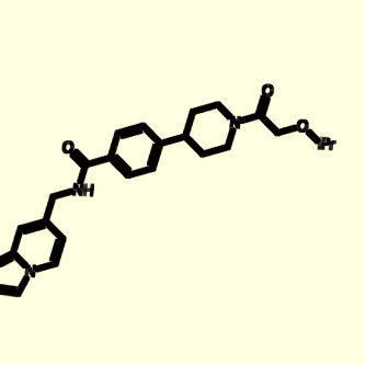 CC(C)OCC(=O)N1CCC(c2ccc(C(=O)NCc3ccn4ccnc4c3)cc2)CC1